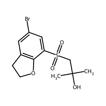 CC(C)(O)CS(=O)(=O)c1cc(Br)cc2c1OCC2